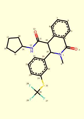 CN1C(=O)c2ccccc2C(C(=O)NC2CCCC2)C1c1cccc(SC(F)(F)F)c1